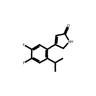 CC(C)c1cc(F)c(F)cc1C1=CC(=O)NC1